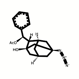 CC(=O)O[C@@H](c1ccccc1)[C@@H]1[C@@H]2C[C@H]3C[C@@](N=[N+]=[N-])(C2)C[C@]1(O)C3